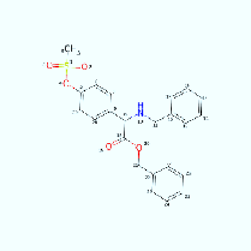 CS(=O)(=O)Oc1ccc(C(NCc2ccccc2)C(=O)OCc2ccccc2)cc1